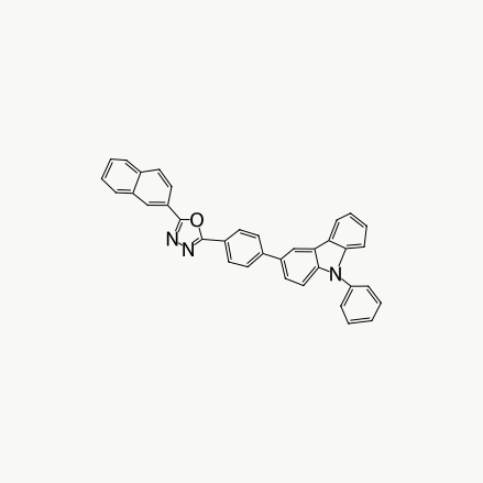 c1ccc(-n2c3ccccc3c3cc(-c4ccc(-c5nnc(-c6ccc7ccccc7c6)o5)cc4)ccc32)cc1